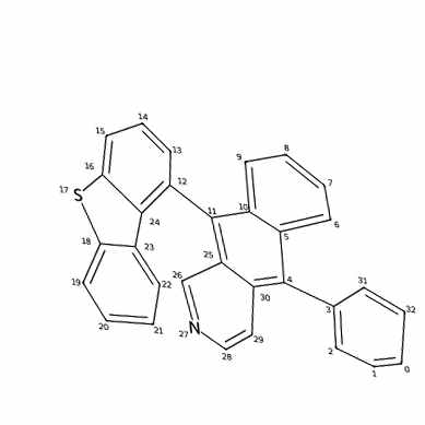 c1ccc(-c2c3ccccc3c(-c3cccc4sc5ccccc5c34)c3cnccc23)cc1